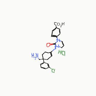 Cl.NCC1(c2cccc(Cl)c2)CCC(N2CC=CN(c3ccc(C(=O)O)cc3)C2=O)CC1